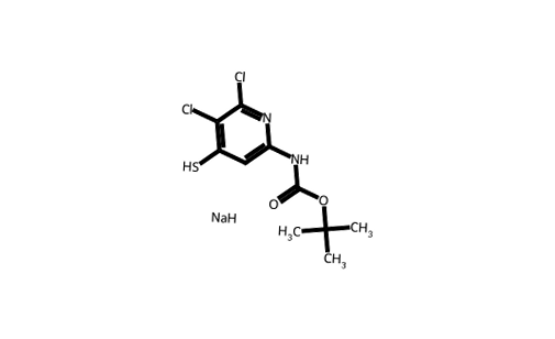 CC(C)(C)OC(=O)Nc1cc(S)c(Cl)c(Cl)n1.[NaH]